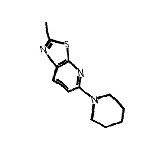 Cc1nc2ccc(N3CCCCC3)nc2s1